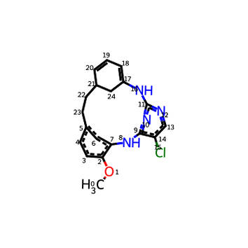 COc1ccc2cc1Nc1nc(ncc1Cl)NC1=CC=CC(CC2)C1